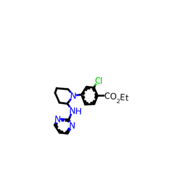 CCOC(=O)c1ccc(N2CCCCC2Nc2ncccn2)cc1Cl